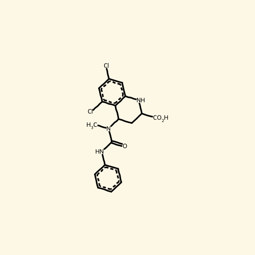 CN(C(=O)Nc1ccccc1)C1CC(C(=O)O)Nc2cc(Cl)cc(Cl)c21